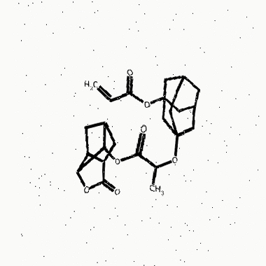 C=CC(=O)OC12CC3CC(C1)CC(OC(C)C(=O)OC1C4CC5C(=O)OC1C5C4)(C3)C2